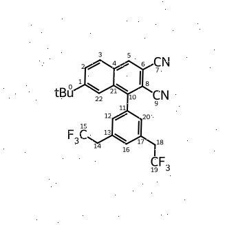 CC(C)(C)c1ccc2cc(C#N)c(C#N)c(-c3cc(CC(F)(F)F)cc(CC(F)(F)F)c3)c2c1